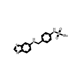 CC(C)(C)S(=O)(=O)Nc1ccc(CNc2ccc3ncsc3c2)cc1